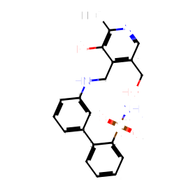 Cc1ncc(CO)c(CNc2cccc(-c3ccccc3S(N)(=O)=O)c2)c1O